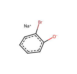 [Na+].[O-]c1ccccc1Br